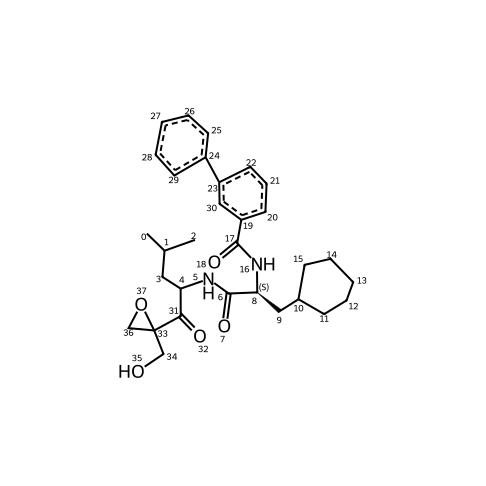 CC(C)CC(NC(=O)[C@H](CC1CCCCC1)NC(=O)c1cccc(-c2ccccc2)c1)C(=O)C1(CO)CO1